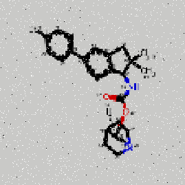 CCc1ccc(-c2ccc3c(c2)CC(C)(C)C3NC(=O)O[C@H]2CN3CCC2CC3)cc1